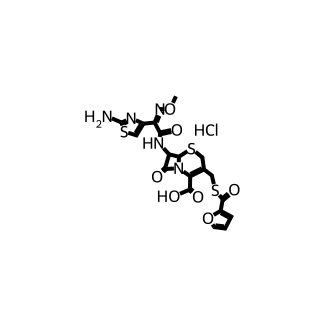 CO/N=C(\C(=O)NC1C(=O)N2C(C(=O)O)=C(CSC(=O)c3ccco3)CSC12)c1csc(N)n1.Cl